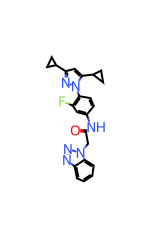 O=C(Cn1nnc2ccccc21)Nc1ccc(-n2nc(C3CC3)cc2C2CC2)c(F)c1